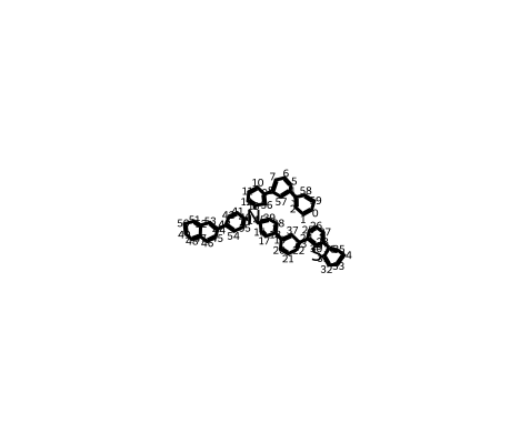 c1ccc(-c2cccc(-c3cccc(N(c4ccc(-c5cccc(-c6cccc7c6sc6ccccc67)c5)cc4)c4ccc(-c5ccc6ccccc6c5)cc4)c3)c2)cc1